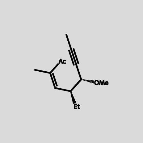 CC#C[C@H](OC)[C@H](/C=C(/C)C(C)=O)CC